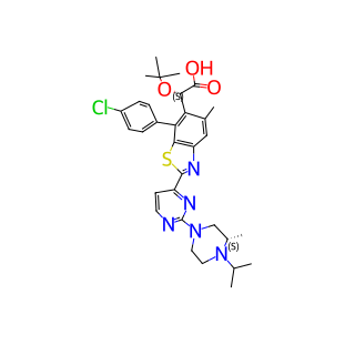 Cc1cc2nc(-c3ccnc(N4CCN(C(C)C)[C@@H](C)C4)n3)sc2c(-c2ccc(Cl)cc2)c1[C@H](OC(C)(C)C)C(=O)O